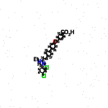 CCn1cc(-c2ccc(Cl)cc2Cl)nc1C=Cc1ccc(-c2ccc(OCc3ccc(C(=O)O)cc3)cc2)cc1